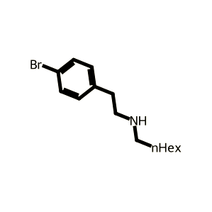 CCCCCCCNCCc1ccc(Br)cc1